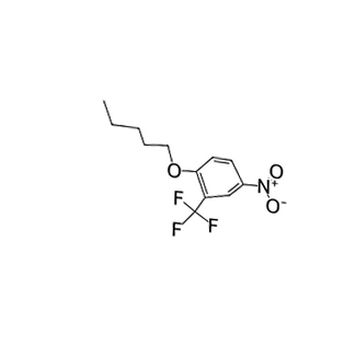 CCCCCOc1ccc([N+](=O)[O-])cc1C(F)(F)F